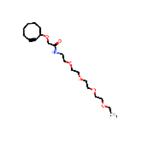 CCOCCOCCOCCOCCNC(=O)COC1C#CCCCCC1